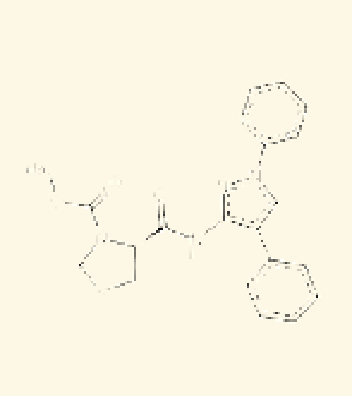 CC(C)(C)OC(=O)N1CSC[C@@H]1C(=O)Nc1nn(-c2ccccc2)cc1-c1ccccc1